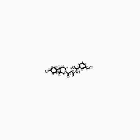 CC(NC(=O)c1cccc(CCl)c1)[C@@H](C)C(=O)N1CC[C@](O)(c2ccc(Cl)cc2)C(C)(C)C1